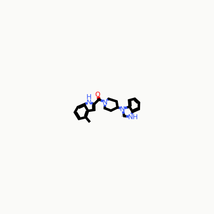 Cc1cccc2[nH]c(C(=O)N3CCC(N4[CH]Nc5ccccc54)CC3)cc12